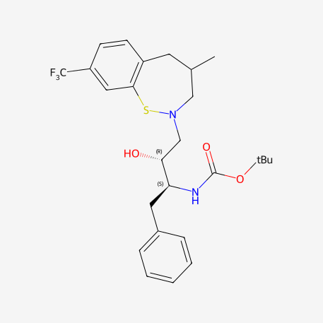 CC1Cc2ccc(C(F)(F)F)cc2SN(C[C@@H](O)[C@H](Cc2ccccc2)NC(=O)OC(C)(C)C)C1